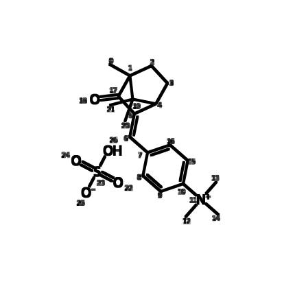 CC12CCC(C(=Cc3ccc([N+](C)(C)C)cc3)C1=O)C2(C)C.O=S(=O)([O-])O